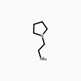 CCCCCCN1C[CH]CC1